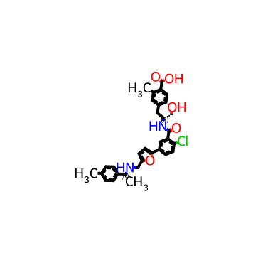 Cc1ccc([C@@H](C)NCc2ccc(-c3ccc(Cl)c(C(=O)N[C@@H](CO)Cc4ccc(C(=O)O)c(C)c4)c3)o2)cc1